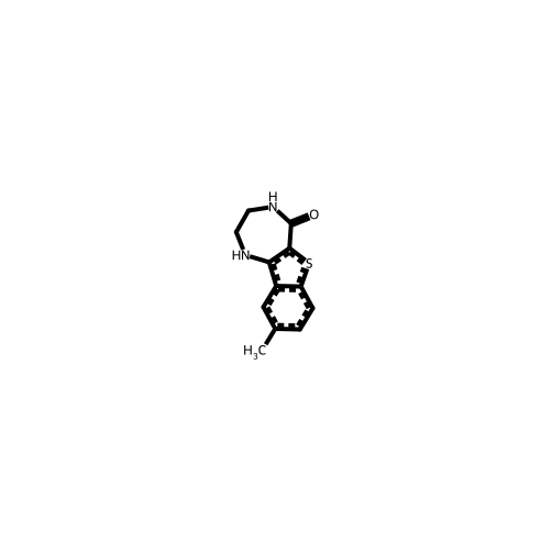 Cc1ccc2sc3c(c2c1)NCCNC3=O